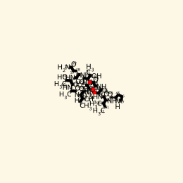 CC[C@H](C)[C@H](NC(=O)[C@H](C)NC(=O)[C@@H](NC(=O)[C@H](CCC(N)=O)NC(=O)[C@@H](NC(=O)[C@H](CO)NC(=O)[C@@H](NC(=O)[C@@H](NC(=O)[C@@H]1CCCN1)[C@@H](C)CC)C(C)C)[C@@H](C)O)[C@@H](C)O)C(=O)N[C@@H](C)C(=O)O